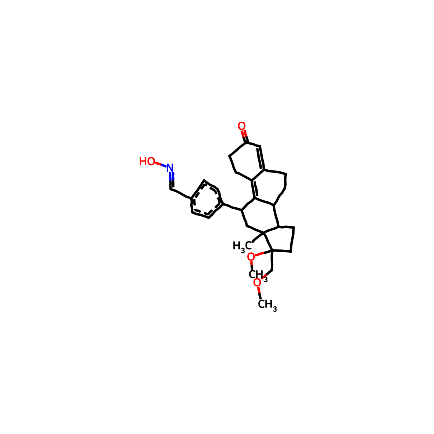 COCC1(OC)CCC2C3CCC4=CC(=O)CCC4=C3C(c3ccc(C=NO)cc3)CC21C